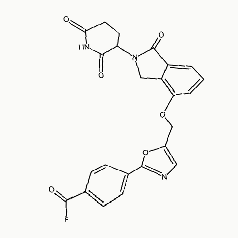 O=C1CCC(N2Cc3c(OCc4cnc(-c5ccc(C(=O)F)cc5)o4)cccc3C2=O)C(=O)N1